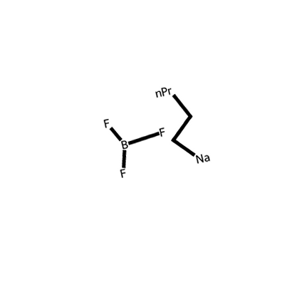 CCCC[CH2][Na].FB(F)F